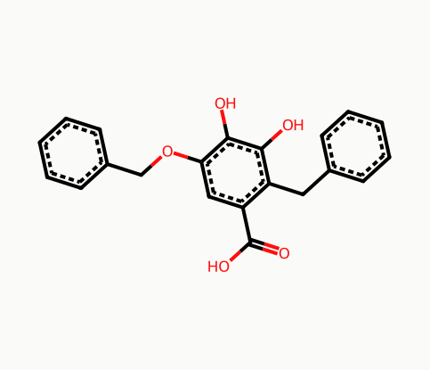 O=C(O)c1cc(OCc2ccccc2)c(O)c(O)c1Cc1ccccc1